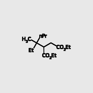 CCCC(C)(CC)C(CC(=O)OCC)C(=O)OCC